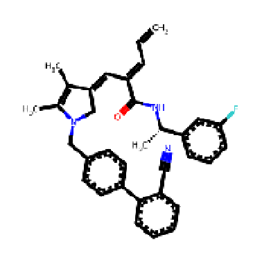 C=C/C=C(\C=C1/CN(Cc2ccc(-c3ccccc3C#N)cc2)C(C)=C1C)C(=O)N[C@@H](C)c1cccc(F)c1